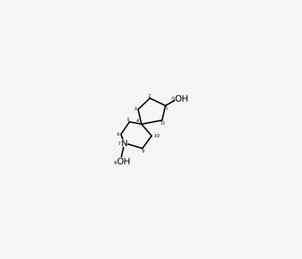 OC1CCC2(CCN(O)CC2)C1